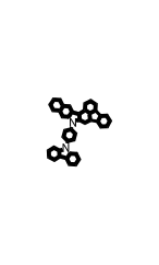 c1ccc2c(c1)-c1cccc3c1c-2cc1c3c2cc3ccccc3cc2n1-c1ccc(-n2c3ccccc3c3ccccc32)cc1